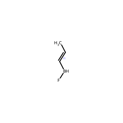 C/C=C/BF